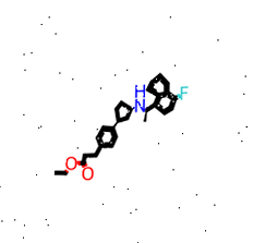 CCOC(=O)CCc1ccc([C@H]2CC[C@H](N[C@H](C)c3ccc(F)c4ccccc34)C2)cc1